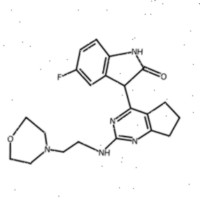 O=C1Nc2ccc(F)cc2C1c1nc(NCCN2CCOCC2)nc2c1CCC2